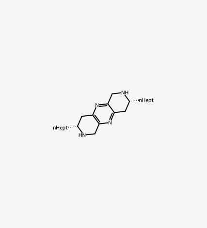 CCCCCCC[C@@H]1Cc2nc3c(nc2CN1)C[C@@H](CCCCCCC)NC3